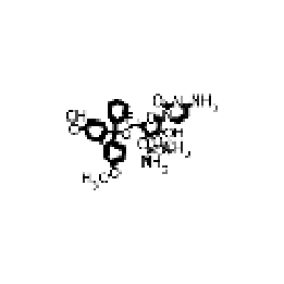 COc1ccc(C(OC(F)[C@H]2O[C@@H](n3ccc(N)nc3=O)[C@@](O)(OC)[C@@H]2OP(N)O)(c2ccccc2)c2ccc(OC)cc2)cc1